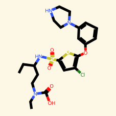 CCC(CCN(CC)C(=O)O)NS(=O)(=O)c1cc(Cl)c(Oc2cccc(N3CCNCC3)c2)s1